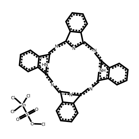 O=[S](=O)(OCl)[Zn]([Cl])([Cl])[Cl].c1ccc2c(c1)-c1nc-2nc2[nH]c(nc3nc(nc4[nH]c(n1)c1ccccc41)-c1ccccc1-3)c1ccccc21